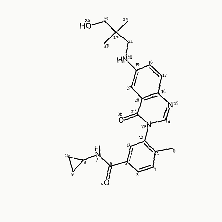 Cc1ccc(C(=O)NC2CC2)cc1-n1cnc2ccc(NCC(C)(C)CO)cc2c1=O